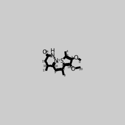 COc1c(C)sc(C(C)=CC2=NNC(=O)CC2C)c1OC